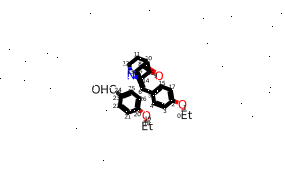 CCOc1ccc(/C=C2\C(=O)C3CCN2CC3)cc1.CCOc1ccc(C=O)cc1